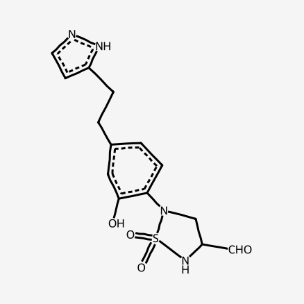 O=CC1CN(c2ccc(CCc3ccn[nH]3)cc2O)S(=O)(=O)N1